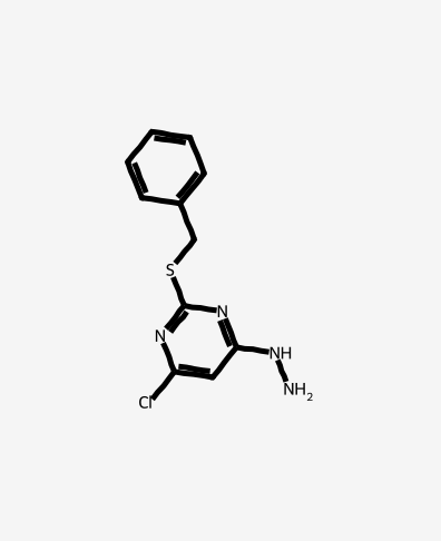 NNc1cc(Cl)nc(SCc2ccccc2)n1